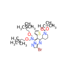 CC(C)(C)OC(=O)N1CCCC(c2nc3c(Br)cnn3c(N(COCC[Si](C)(C)C)COCC[Si](C)(C)C)c2-c2cccs2)C1